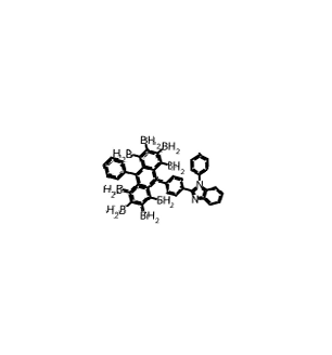 Bc1c(B)c(B)c2c(-c3ccc(-c4nc5ccccc5n4-c4ccccc4)cc3)c3c(B)c(B)c(B)c(B)c3c(-c3ccccc3)c2c1B